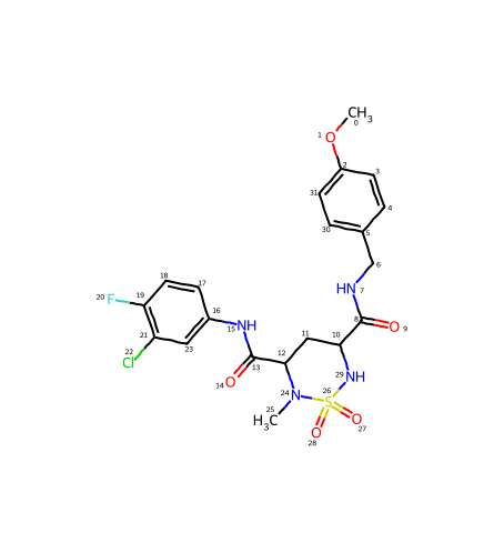 COc1ccc(CNC(=O)C2CC(C(=O)Nc3ccc(F)c(Cl)c3)N(C)S(=O)(=O)N2)cc1